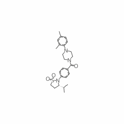 Cc1ccc(N2CCN(C(=O)c3ccc(N4[C@H](C(C)C)CCS4(=O)=O)cc3)CC2)c(C)c1